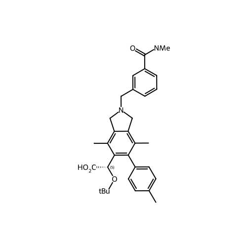 CNC(=O)c1cccc(CN2Cc3c(C)c(-c4ccc(C)cc4)c([C@H](OC(C)(C)C)C(=O)O)c(C)c3C2)c1